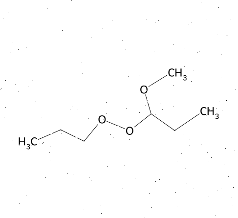 CCCOOC(CC)OC